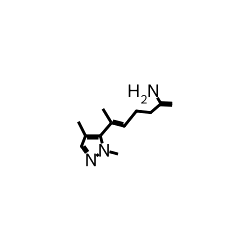 C=C(N)CC/C=C(\C)c1c(C)cnn1C